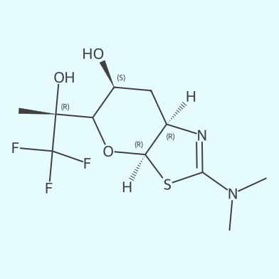 CN(C)C1=N[C@@H]2C[C@H](O)C([C@@](C)(O)C(F)(F)F)O[C@@H]2S1